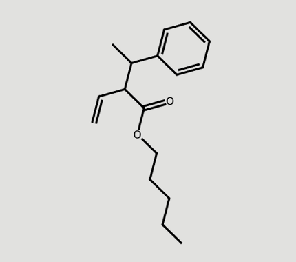 C=CC(C(=O)OCCCCC)C(C)c1ccccc1